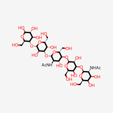 CC(=O)N[C@H]1[C@H](O[C@H]2[C@@H](O)[C@@H](CO)O[C@@H](O[C@H]3[C@H](O)[C@@H](O)[C@H](O)O[C@@H]3CO)[C@@H]2O)O[C@H](CO)[C@@H](O[C@@H]2O[C@H](CO)[C@H](O)[C@H](O[C@@H]3O[C@H](CO)[C@H](O)[C@H](O)[C@H]3NC(C)=O)[C@H]2O)[C@@H]1O